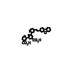 O=C(O)c1ccnc(-c2cc(C(=O)O)cc(-c3cc(/C=C/c4ccc5c(c4)oc4ccccc45)ccn3)n2)c1